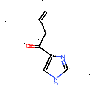 C=CCC(=O)c1c[nH][c]n1